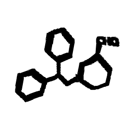 O=C[C@H]1CCCN(CC(c2ccccc2)c2ccccc2)C1